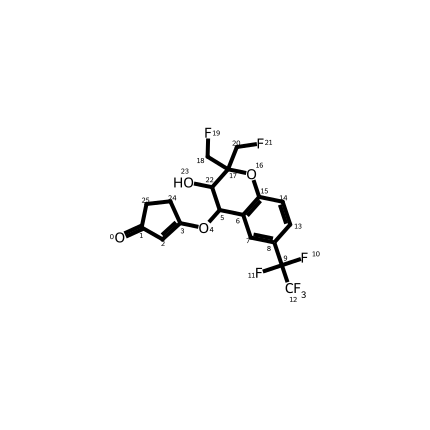 O=C1C=C(OC2c3cc(C(F)(F)C(F)(F)F)ccc3OC(CF)(CF)C2O)CC1